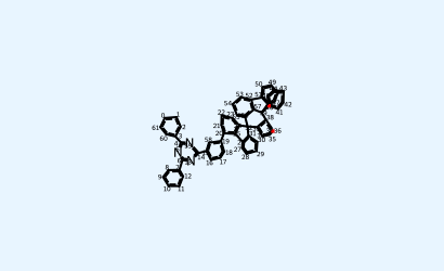 c1ccc(-c2nc(-c3ccccc3)nc(-c3cccc(-c4cccc5c4-c4ccccc4C54c5ccccc5C5(c6ccccc6)c6ccccc6-c6cccc4c65)c3)n2)cc1